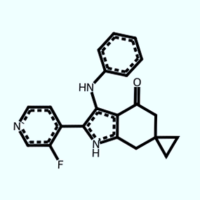 O=C1CC2(CC2)Cc2[nH]c(-c3ccncc3F)c(Nc3ccccc3)c21